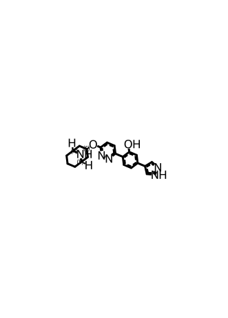 Oc1cc(-c2cn[nH]c2)ccc1-c1ccc(O[C@@H]2C[C@H]3CCC[C@@H](C2)N3)nn1